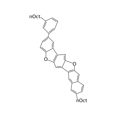 CCCCCCCCc1cccc(-c2ccc3oc4cc5c(cc4c3c2)oc2cc3ccc(CCCCCCCC)cc3cc25)c1